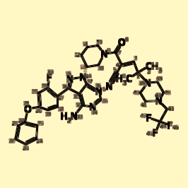 CC(C)(C=C(C#N)C(=O)N1CCC[C@@H](n2nc(-c3ccc(Oc4ccccc4)cc3F)c3c(N)ncnc32)C1)N1CCN(CC(F)(F)F)CC1